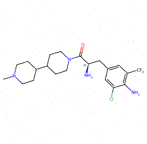 CN1CCC(C2CCN(C(=O)[C@H](N)Cc3cc(Cl)c(N)c(C(F)(F)F)c3)CC2)CC1